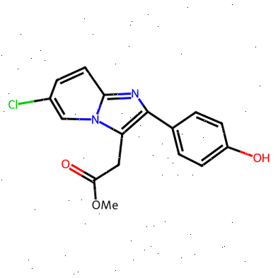 COC(=O)Cc1c(-c2ccc(O)cc2)nc2ccc(Cl)cn12